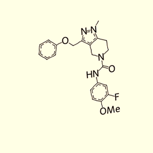 COc1ccc(NC(=O)N2CCc3c(c(COc4ccccc4)nn3C)C2)cc1F